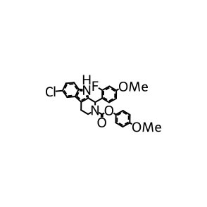 COc1ccc(OC(=O)N2CCc3c([nH]c4ccc(Cl)cc34)C2c2ccc(OC)cc2F)cc1